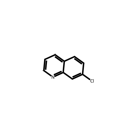 Clc1ccc2[c]c[c]nc2c1